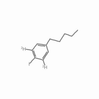 [2H]c1cc(CCCCC)cc([2H])c1I